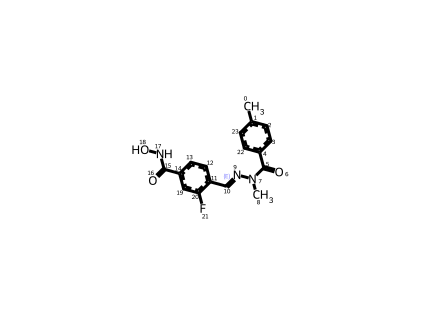 Cc1ccc(C(=O)N(C)/N=C/c2ccc(C(=O)NO)cc2F)cc1